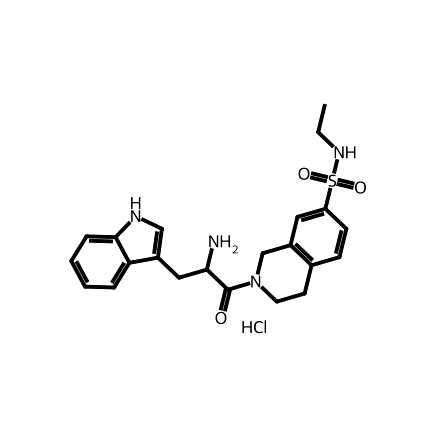 CCNS(=O)(=O)c1ccc2c(c1)CN(C(=O)C(N)Cc1c[nH]c3ccccc13)CC2.Cl